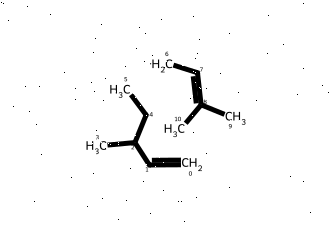 C=CC(C)CC.[CH2]C=C(C)C